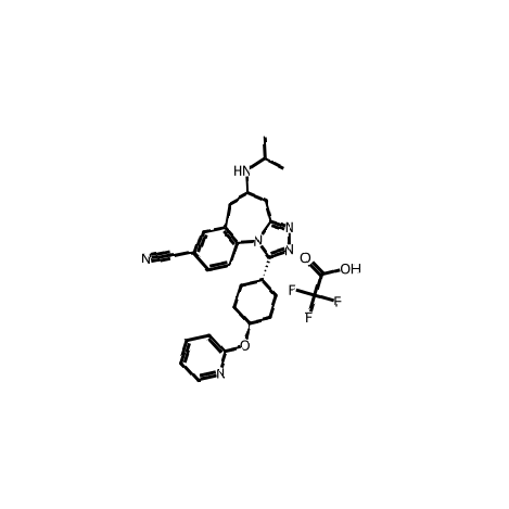 CC(C)NC1Cc2cc(C#N)ccc2-n2c(nnc2[C@H]2CC[C@H](Oc3ccccn3)CC2)C1.O=C(O)C(F)(F)F